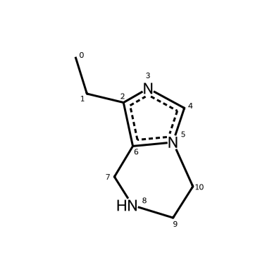 CCc1ncn2c1CNCC2